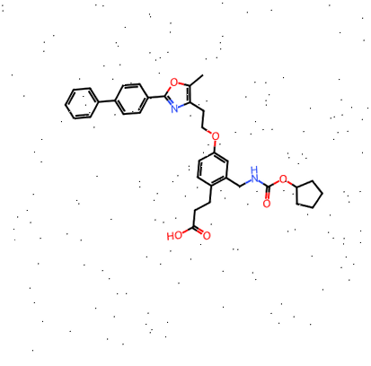 Cc1oc(-c2ccc(-c3ccccc3)cc2)nc1CCOc1ccc(CCC(=O)O)c(CNC(=O)OC2CCCC2)c1